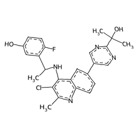 Cc1nc2ccc(-c3cnc(C(C)(C)O)nc3)cc2c(NC(C)c2cc(O)ccc2F)c1Cl